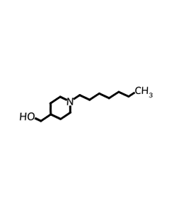 CCCCCCCN1CCC(CO)CC1